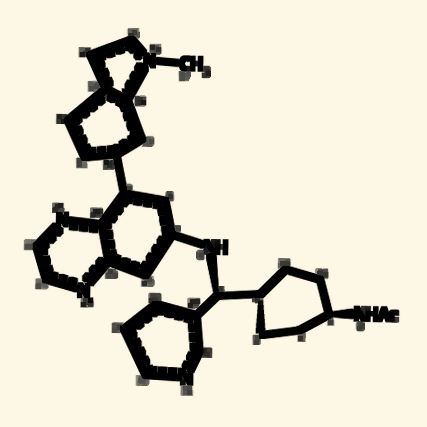 CC(=O)N[C@H]1CC[C@H]([C@H](Nc2cc(-c3ccc4ccn(C)c4c3)c3nccnc3c2)c2cccnc2)CC1